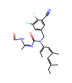 C\C=C(/C=C(C)\C=C(/C)CC)N(Cc1cc(F)c(F)c(C#N)c1)C(=O)/N=C(/C)NC=O